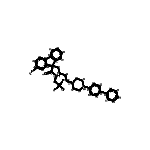 O=C(NCC(F)(F)F)C1(CCCCN2CCN(c3ccc(-c4ccccc4)cc3)CC2)c2ccccc2-c2ccc(F)cc21